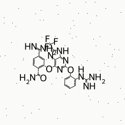 N=C(N)Nc1ccccc1Oc1nc(Oc2cc(C(=N)N)ccc2C(N)=O)c2nc(C(F)(F)F)[nH]c2n1